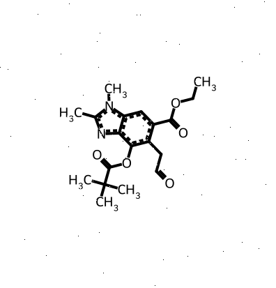 CCOC(=O)c1cc2c(nc(C)n2C)c(OC(=O)C(C)(C)C)c1CC=O